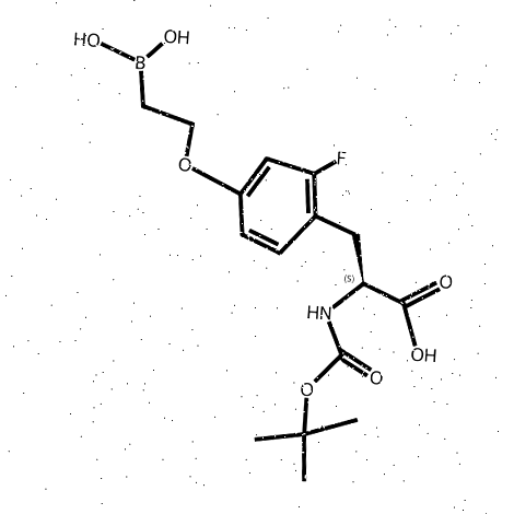 CC(C)(C)OC(=O)N[C@@H](Cc1ccc(OCCB(O)O)cc1F)C(=O)O